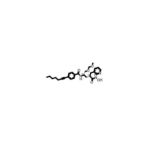 CCCCCC#Cc1ccc(C(=O)N[C@H](COCOC)C[C@H](Cc2cccnc2)C(=O)NO)cc1